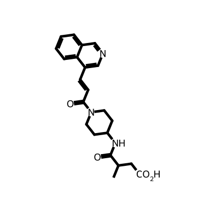 CC(CC(=O)O)C(=O)NC1CCN(C(=O)C=Cc2cncc3ccccc23)CC1